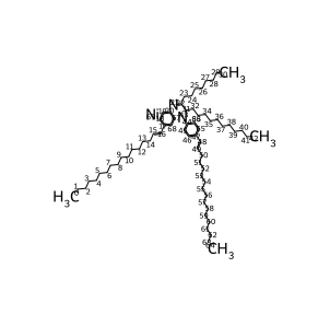 CCCCCCCCCCCCCCCC=Cc1ccc(N=C(CCCCCCCC)C(CCCCCCCCCCC)=Nc2ccc(C=CCCCCCCCCCCCCCCC)cc2)cc1.[Ni]